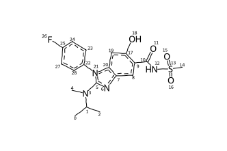 CC(C)N(C)c1nc2cc(C(=O)NS(C)(=O)=O)c(O)cc2n1-c1ccc(F)cc1